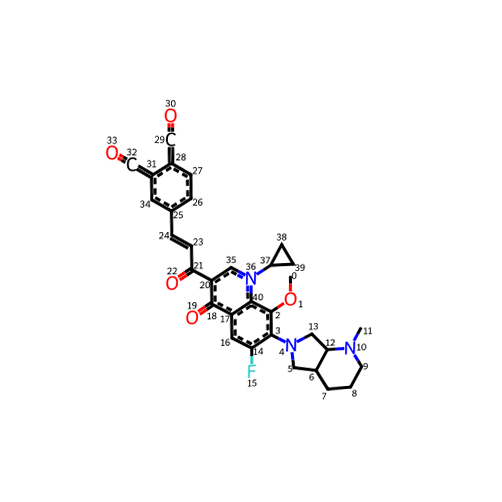 COc1c(N2CC3CCCN(C)C3C2)c(F)cc2c(=O)c(C(=O)C=Cc3ccc(=C=O)c(=C=O)c3)cn(C3CC3)c12